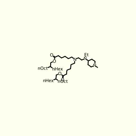 CCCCCCCCC(CCCCCC)COC(=O)CCCCCN(CCCCCC(=O)OCC(CCCCCC)CCCCCCCC)CCN(CC)C1CCN(C)CC1